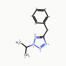 CC(C)n1nnc(Cc2ccccc2)n1